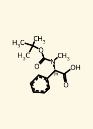 CN(C(=O)OC(C)(C)C)[C@@H](C(=O)O)c1ccccc1